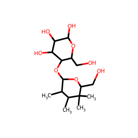 CC1C(OC2C(CO)OC(O)C(O)C2O)OC(CO)C(C)(C)C1C